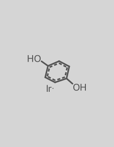 Oc1ccc(O)cc1.[Ir]